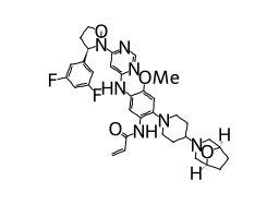 C=CC(=O)Nc1cc(Nc2cc(N3OCC[C@@H]3c3cc(F)cc(F)c3)ncn2)c(OC)cc1N1CCC(N2C[C@H]3CC[C@@H](C2)O3)CC1